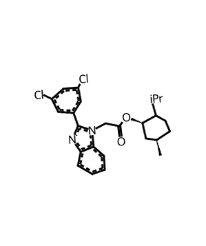 CC(C)C1CC[C@@H](C)C[C@H]1OC(=O)Cn1c(-c2cc(Cl)cc(Cl)c2)nc2ccccc21